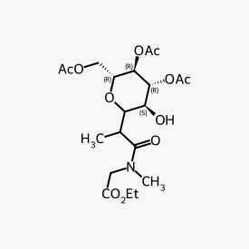 CCOC(=O)CN(C)C(=O)C(C)C1O[C@H](COC(C)=O)[C@@H](OC(C)=O)[C@H](OC(C)=O)[C@H]1O